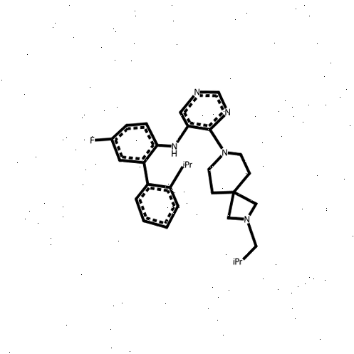 CC(C)CN1CC2(CCN(c3ncncc3Nc3ccc(F)cc3-c3ccccc3C(C)C)CC2)C1